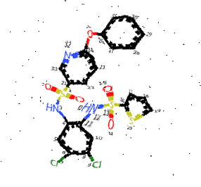 O=S(=O)(Nc1cc(Cl)c(Cl)cc1NS(=O)(=O)c1cccs1)c1ccc(Oc2ccccc2)nc1